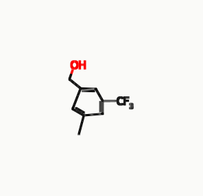 Cc1cc(CO)cc(C(F)(F)F)c1